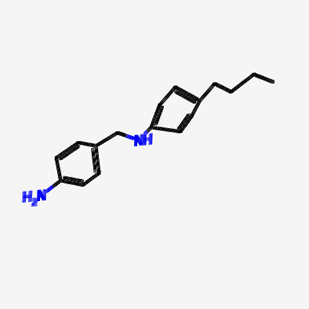 CCCCc1ccc(NCc2ccc(N)cc2)cc1